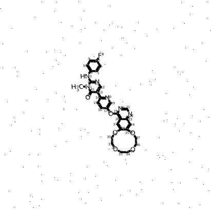 Cn1c(Nc2ccc(F)cc2)ncc(-c2ccc(Oc3ncnc4cc5c(cc34)OCCOCCOCCO5)cn2)c1=O